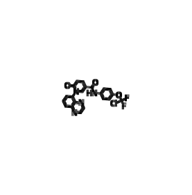 O=C(Nc1ccc(OC(F)(F)Cl)cc1)c1ccc(=O)n(-c2cccc3nccnc23)c1